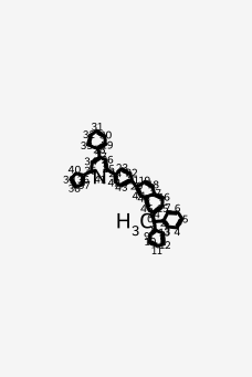 CC(c1ccccc1)(c1ccccc1)c1ccc2ccc(-c3ccc(-c4cc(-c5ccccc5)cc(C5=CC=CC5)n4)cc3)cc2c1